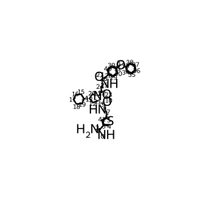 N=C(N)c1csc(CNC(=O)[C@@H]2C[C@H](C3CCCCC3)CN2C(=O)CNC(=O)c2ccc(Oc3ccccc3)cc2)c1